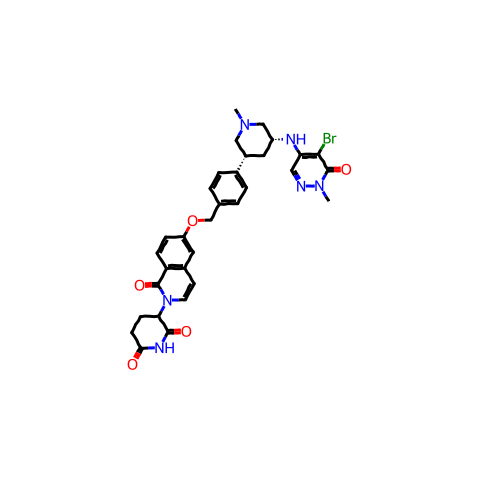 CN1C[C@H](Nc2cnn(C)c(=O)c2Br)C[C@H](c2ccc(COc3ccc4c(=O)n(C5CCC(=O)NC5=O)ccc4c3)cc2)C1